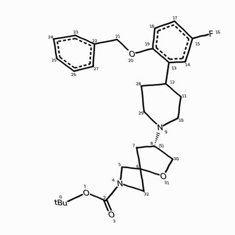 CC(C)(C)OC(=O)N1CC2(C[C@H](N3CCC(c4cc(F)ccc4OCc4ccccc4)CC3)CO2)C1